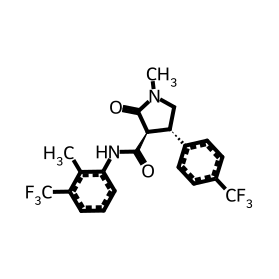 Cc1c(NC(=O)[C@H]2C(=O)N(C)C[C@@H]2c2ccc(C(F)(F)F)cc2)cccc1C(F)(F)F